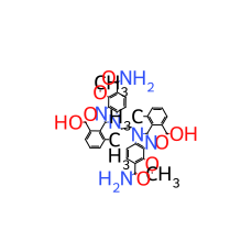 COc1c(C(N)=O)ccc2c1nc(-c1c(C)cccc1C(=O)O)n2CCn1c(-c2c(C)cccc2C(=O)O)nc2c(OC)c(C(N)=O)ccc21